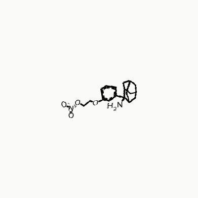 NC1(c2cccc(OCCO[N+](=O)[O-])c2)C2CC3CC(C2)CC1C3